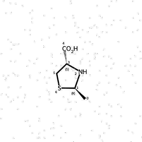 C[C@@H]1N[C@@H](C(=O)O)CS1